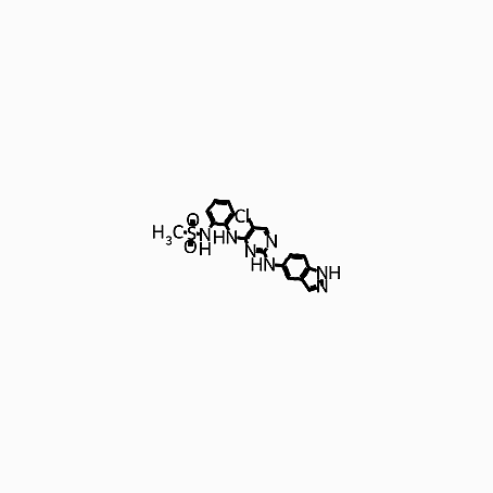 CS(=O)(=O)Nc1ccccc1Nc1nc(Nc2ccc3[nH]ncc3c2)ncc1Cl